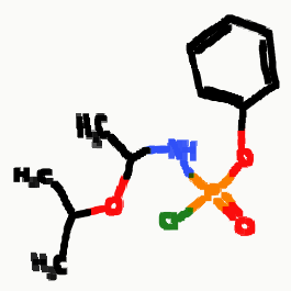 CC(C)OC(C)NP(=O)(Cl)Oc1ccccc1